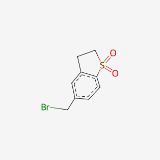 O=S1(=O)CCc2cc(CBr)ccc21